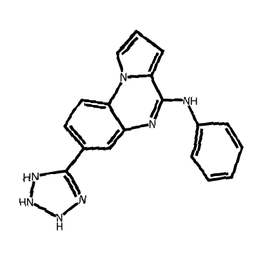 c1ccc(Nc2nc3cc(C4=NNNN4)ccc3n3cccc23)cc1